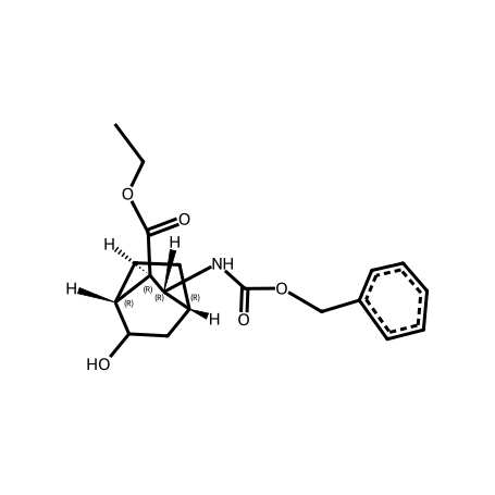 CCOC(=O)[C@H]1[C@H](NC(=O)OCc2ccccc2)[C@@H]2CC[C@H]1C(O)C2